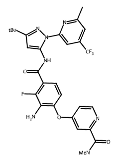 CNC(=O)c1cc(Oc2ccc(C(=O)Nc3cc(C(C)(C)C)nn3-c3cc(C(F)(F)F)cc(C)n3)c(F)c2N)ccn1